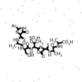 CC(=O)C1=NC(C(=S)NC(C)C(=O)NC(CO)C(=O)NC(C2=NC(C(=S)NC(C)C(=O)NC(C)C(=O)O)C(=O)O2)C(C)OS(=O)(=O)O)C(=O)N1